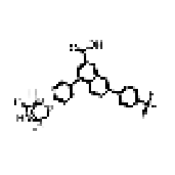 O=C(O)c1cc(-c2ccc([C@@H]3C[C@@H]4C[C@H]3C(=O)N4)cc2)c2ccc(-c3ccc(C(F)(F)F)cc3)cc2c1